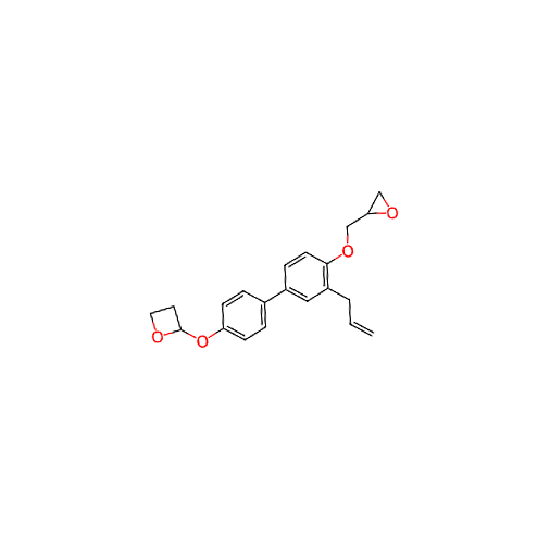 C=CCc1cc(-c2ccc(OC3CCO3)cc2)ccc1OCC1CO1